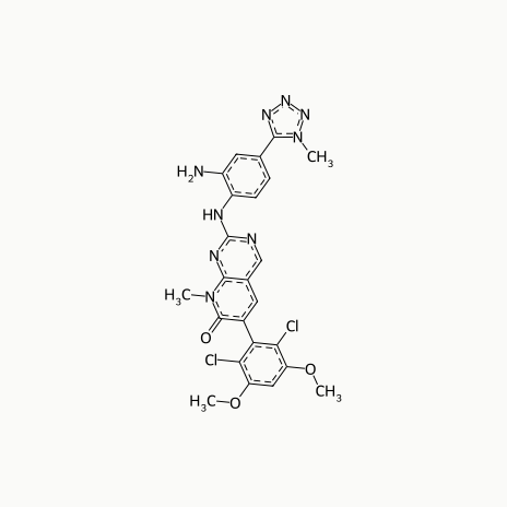 COc1cc(OC)c(Cl)c(-c2cc3cnc(Nc4ccc(-c5nnnn5C)cc4N)nc3n(C)c2=O)c1Cl